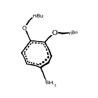 Bc1ccc(OCCCC)c(OCCCC)c1